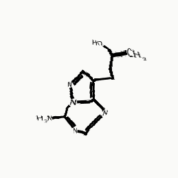 CC(O)Cc1cnn2c(N)ncnc12